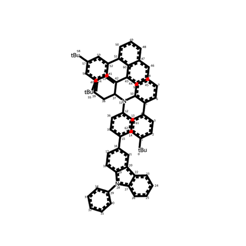 CC(C)(C)c1ccc(-c2ccccc2N(c2ccc(-c3ccc4c(c3)c3ccccc3n4-c3ccccc3)cc2)C2CC=CC=C2c2cccc3cccc(-c4cc(C(C)(C)C)cc(C(C)(C)C)c4)c23)cc1